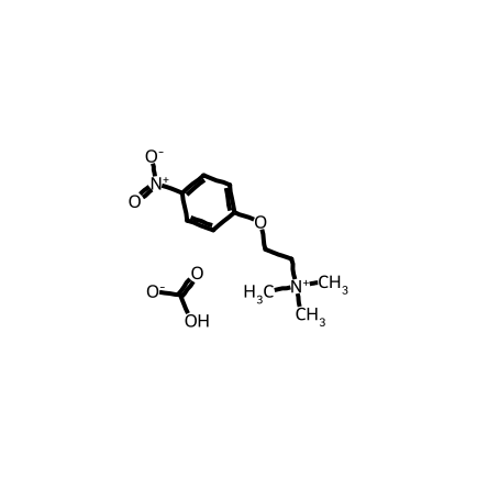 C[N+](C)(C)CCOc1ccc([N+](=O)[O-])cc1.O=C([O-])O